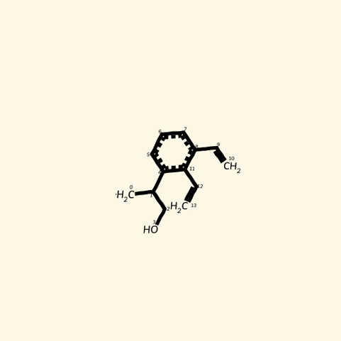 [CH2]C(CO)c1cccc(C=C)c1C=C